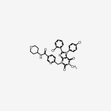 Cn1c(=O)c2c(nc(-c3ccccc3Cl)n2-c2ccc(Cl)cc2)n(Cc2ccc(C(=O)NC3CCOCC3)cn2)c1=O